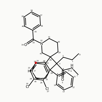 CCCC(C(=O)NC)(C1(c2ccccc2)CCNCC1)C1(c2ccc(Cl)c(Cl)c2)CCCN(C(=O)c2ccccc2)C1